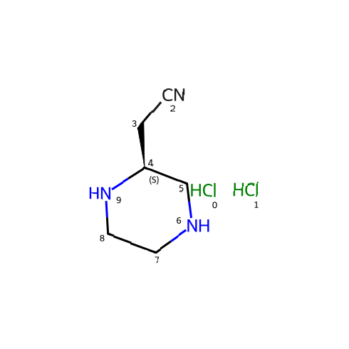 Cl.Cl.N#CC[C@H]1CNCCN1